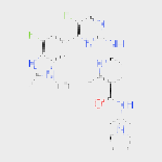 Cc1nc(Nc2ncc(F)c(-c3cc(F)c4nc(C)n(C(C)C)c4c3)n2)ccc1C(=O)NC1CC2CCC(C1)N2C